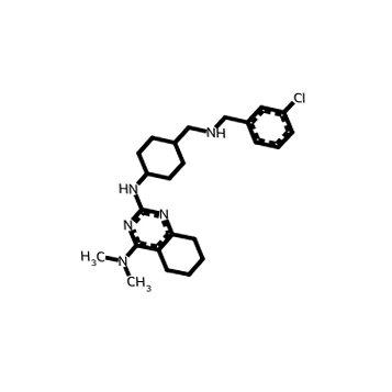 CN(C)c1nc(NC2CCC(CNCc3cccc(Cl)c3)CC2)nc2c1CCCC2